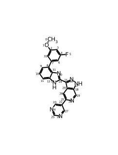 COc1cc(F)cc(-c2cccc3[nH]c(-c4n[nH]c5cnc(-c6cncnc6)cc45)nc23)c1